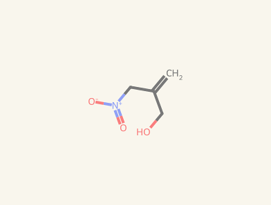 C=C(CO)C[N+](=O)[O-]